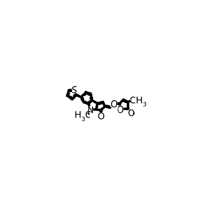 CC1=CC(O/C=C2\C=C3c4ccc(-c5cccs5)cc4N(C)C3C2=O)OC1=O